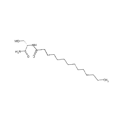 CCCCCCCCCCCCCC(=O)N[C@@H](CO)C(N)=O